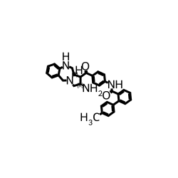 Cc1ccc(-c2ccccc2C(=O)Nc2ccc(C(=O)C3[C@H]4CNc5ccccc5CN4C[C@@H]3N)cc2)cc1